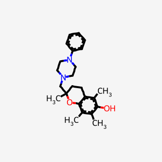 Cc1c(C)c2c(c(C)c1O)CCC(C)(CN1CCN(c3ccccc3)CC1)O2